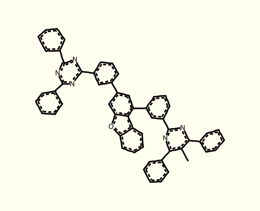 Cc1c(-c2ccccc2)nc(-c2cccc(-c3cc(-c4cccc(-c5nc(-c6ccccc6)nc(-c6ccccc6)n5)c4)cc4oc5ccccc5c34)c2)nc1-c1ccccc1